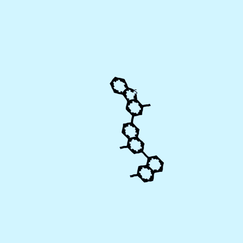 Cc1ccc2cccc(-c3cc(C)c4ccc(-c5cc(C)c6sc7ccccc7c6c5)cc4c3)c2c1